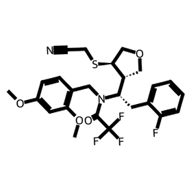 COc1ccc(CN(C(=O)C(F)(F)F)[C@@H](Cc2ccccc2F)[C@H]2COC[C@@H]2SCC#N)c(OC)c1